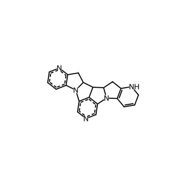 C1=CC2=C(CC3C4c5c(cncc5N5c6cccnc6CC45)N23)NC1